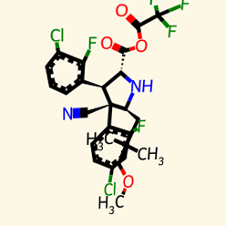 COCC(C)(C)C[C@@H]1N[C@@H](C(=O)OC(=O)C(F)(F)F)[C@H](c2cccc(Cl)c2F)[C@@]1(C#N)c1ccc(Cl)cc1F